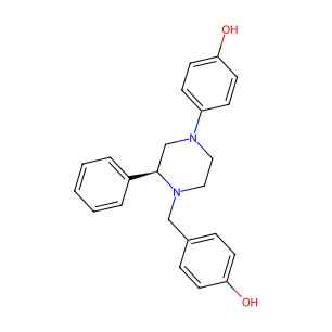 Oc1ccc(CN2CCN(c3ccc(O)cc3)C[C@@H]2c2ccccc2)cc1